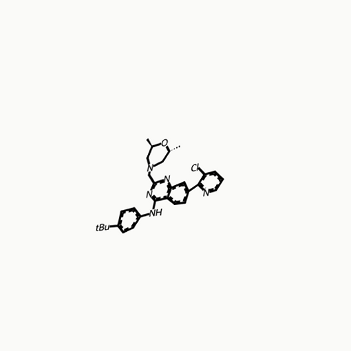 C[C@@H]1CN(Cc2nc(Nc3ccc(C(C)(C)C)cc3)c3ccc(-c4ncccc4Cl)cc3n2)C[C@@H](C)O1